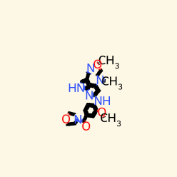 COCCN(C)c1cc(Nc2ccc(C(=O)N3CCOCC3)cc2OC)nc2[nH]cc(C#N)c12